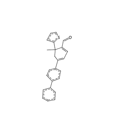 CC1(c2cccs2)CC(c2ccc(-c3ccccc3)cc2)=CC=C1C=O